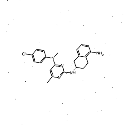 Cc1cc(N(C)c2ccc(Cl)cc2)nc(N[C@H]2CCc3c(N)cccc3C2)n1